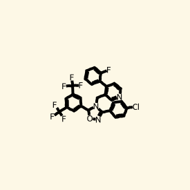 Fc1ccccc1-c1ccncc1CN1C(c2ccc(Cl)cc2)=NOC1c1cc(C(F)(F)F)cc(C(F)(F)F)c1